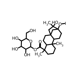 CC1(C(=O)OC2OC(CO)C(O)C(O)C2O)CCCC2(C)C3CCC4(OI)CC3(CCC12)CC4(C)O